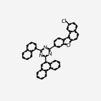 Clc1ccc2ccc3oc4cc(-c5nc(-c6cccc7ccccc67)nc(-c6cc7ccccc7c7ccccc67)n5)ccc4c3c2c1